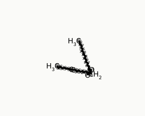 [CH2]N(C(=O)CCCCCCCCCCCCCCCCC)C(=O)CCCCCCCCCCCCCCCCC